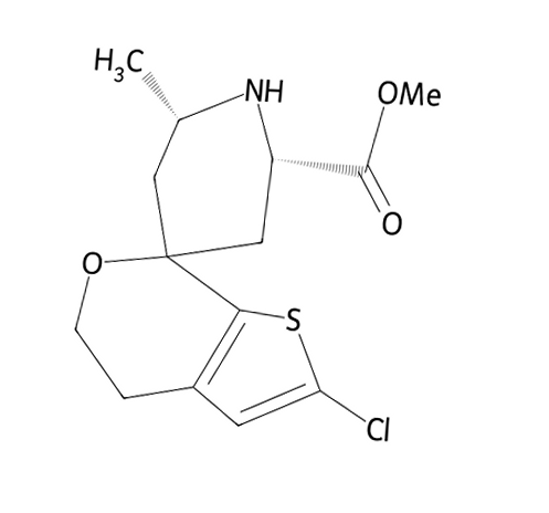 COC(=O)[C@@H]1CC2(C[C@H](C)N1)OCCc1cc(Cl)sc12